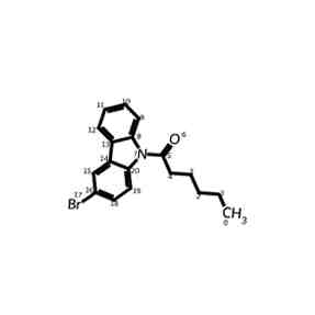 CCCCCC(=O)n1c2ccccc2c2cc(Br)ccc21